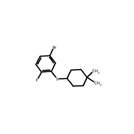 CC1(C)CCC(Sc2cc(Br)ccc2F)CC1